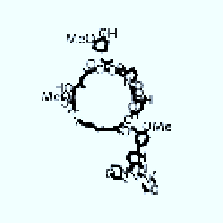 COc1ccc(-c2ccc3c(N4CCOC[C@@H]4C)nc(N4CCOC[C@@H]4C)nc3n2)cc1CO[C@H]1C[C@@H]2CC[C@@H](C)[C@@](O)(O2)C(=O)C(=O)N2CCCC[C@H]2C(=O)O[C@H](C(C)C[C@H]2CC[C@@H](O)[C@H](OC)C2)CC(=O)[C@H](C)/C=C(\C)[C@@H](O)[C@@H](OC)C(=O)[C@H](C)C[C@H](C)/C=C/C=C/C=C\1C